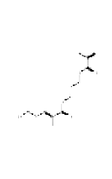 C=C(C)C(=O)OCCCOC(=O)C(C)=CCCO